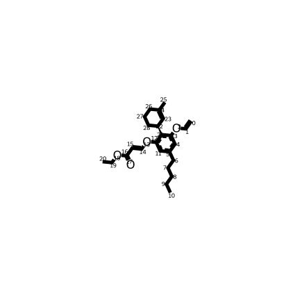 C=COc1cc(CCCCC)cc(O/C=C/C(=O)OCC)c1[C@@H]1C=C(C)CCC1